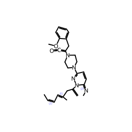 C=C(C/C(C)=C/C=C\C)n1nc(N2CCN(C(=C=O)Cc3ccccc3OC)CC2)cc/c1=N/C